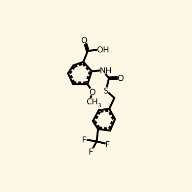 COc1cccc(C(=O)O)c1NC(=O)SCc1ccc(C(F)(F)F)cc1